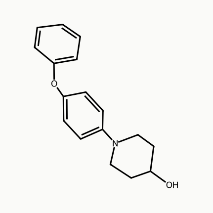 OC1CCN(c2ccc(Oc3ccccc3)cc2)CC1